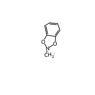 [CH2]N1Oc2ccccc2O1